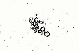 COc1nc(NS(=O)(=O)c2c[nH]c3c(-c4ncccn4)cccc23)nc(OC)c1CC(F)F